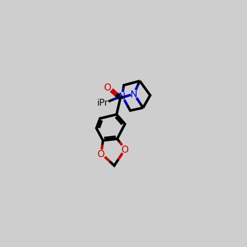 CC(C)N1CC2CC(C1)N2C(=O)c1ccc2c(c1)OCO2